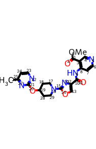 COC(=O)c1cnccc1NC(=O)c1coc(N2CCC(Oc3nccc(C)n3)CC2)n1